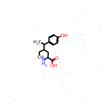 CCC(CC(N)C(=O)O)C(C)c1ccc(O)cc1